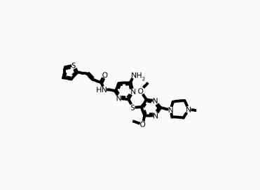 COc1nc(N2CCN(C)CC2)nc(OC)c1Sc1nc(N)cc(NC(=O)C=Cc2cccs2)n1